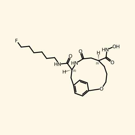 O=C1C[C@@H](C(=O)NO)CCCOc2ccc(cc2)C[C@@H](C(=O)NCCCCCCF)N1